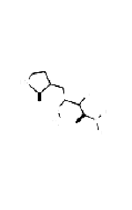 CN(C)C(=O)C(O)[C@H](CC1CCNC1=O)NC(=O)O